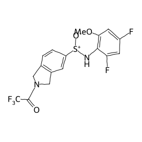 COc1cc(F)cc(F)c1N[S+]([O-])c1ccc2c(c1)CN(C(=O)C(F)(F)F)C2